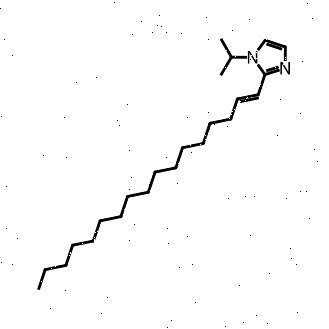 CCCCCCCCCCCCCCCC=Cc1nccn1C(C)C